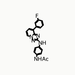 CC(=O)Nc1ccc(Nc2nc3c(-c4cccc(F)c4)cccn3n2)cc1